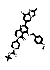 COc1ccc(COc2cc(C3=CN4CC(C)=NC4C(F)=C3)nc3ccn(C4CCN(C(=O)OC(C)(C)C)CC4)c(=O)c23)cc1